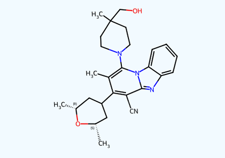 Cc1c(C2C[C@@H](C)O[C@@H](C)C2)c(C#N)c2nc3ccccc3n2c1N1CCC(C)(CO)CC1